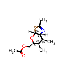 CC(=O)OC[C@H]1O[C@@H]2SC(C)=N[C@@H]2[C@@H](C)[C@H]1C